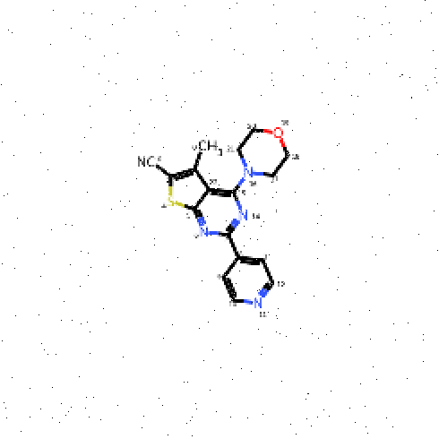 Cc1c(C#N)sc2nc(-c3ccncc3)nc(N3CCOCC3)c12